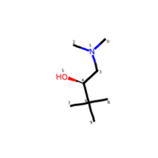 CN(C)C[C@H](O)C(C)(C)C